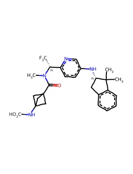 CN(C(=O)C12CC(NC(=O)O)(C1)C2)[C@@H](c1ccc(N[C@H]2Cc3ccccc3C2(C)C)cn1)C(F)(F)F